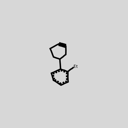 CCc1ccccc1C1CC#CCC1